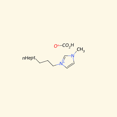 CCCCCCCCCC[n+]1ccn(C)c1.O=C([O-])O